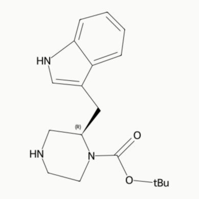 CC(C)(C)OC(=O)N1CCNC[C@H]1Cc1c[nH]c2ccccc12